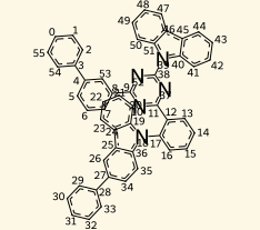 c1ccc(-c2cccc(-c3nc(-c4ccccc4-n4c5ccccc5c5cc(-c6ccccc6)ccc54)nc(-n4c5ccccc5c5ccccc54)n3)c2)cc1